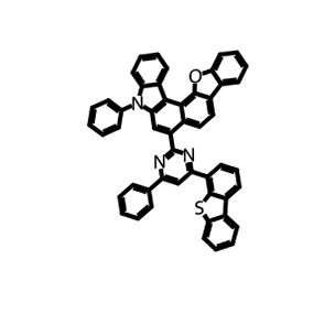 c1ccc(-c2cc(-c3cccc4c3sc3ccccc34)nc(-c3cc4c(c5ccccc5n4-c4ccccc4)c4c3ccc3c5ccccc5oc34)n2)cc1